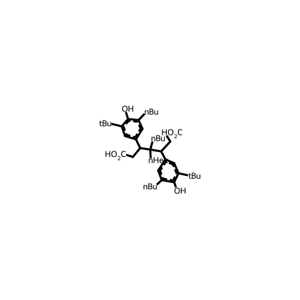 CCCCCCC(CCCC)(C(CC(=O)O)c1cc(CCCC)c(O)c(C(C)(C)C)c1)C(CC(=O)O)c1cc(CCCC)c(O)c(C(C)(C)C)c1